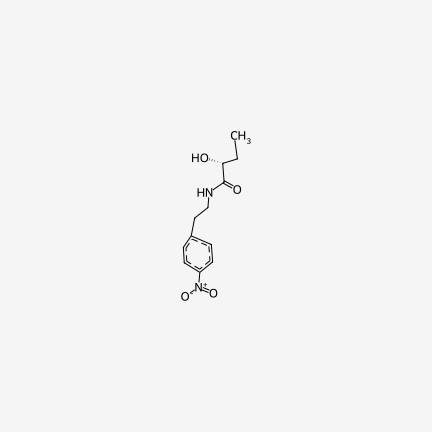 CC[C@@H](O)C(=O)NCCc1ccc([N+](=O)[O-])cc1